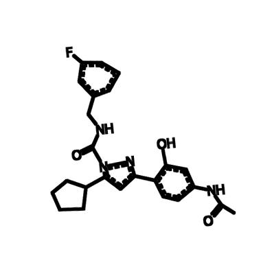 CC(=O)Nc1ccc(-c2cc(C3CCCC3)n(C(=O)NCc3cccc(F)c3)n2)c(O)c1